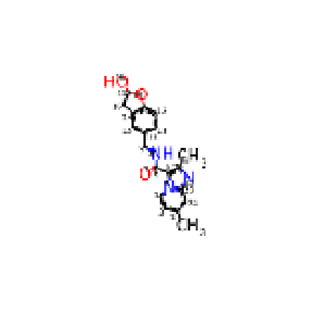 Cc1ccn2c(C(=O)NCc3ccc4c(c3)CC(O)O4)c(C)nc2c1